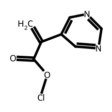 C=C(C(=O)OCl)c1cncnc1